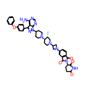 Nc1ncnc2c1c(-c1ccc(Oc3ccccc3)cc1)nn2C1CCN([C@@H]2CCN(C3CN(c4ccc5c(c4)C(=O)N(C4CCC(=O)NC4=O)C5=O)C3)C[C@H]2F)CC1